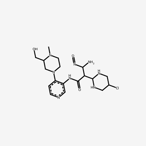 CN1CCN(c2ccncc2NC(=O)C(C(N)N=O)C2NCC(Cl)CN2)CC1CO